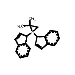 C[C]1(C)[CH2][Zr]1([CH]1C=Cc2ccccc21)[CH]1C=Cc2ccccc21